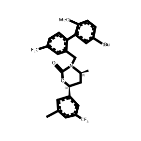 COc1ccc(C(C)(C)C)cc1-c1ccc(C(F)(F)F)cc1CN1C(=O)O[C@H](c2cc(C)cc(C(F)(F)F)c2)C[C@@H]1C